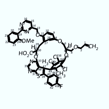 C=CCOC[C@@H]1COc2ccc(OCc3ccnc(-c4ccccc4OC)n3)c(c2)C[C@H](C(=O)O)Oc2ncnc3sc(-c4ccc(F)cc4)c(c23)-c2c(C)c(Cl)c(c(Cl)c2C)O1